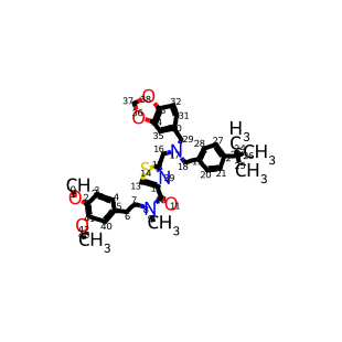 COc1ccc(CCN(C)C(=O)c2csc(CN(Cc3ccc(C(C)(C)C)cc3)Cc3ccc4c(c3)OCO4)n2)cc1OC